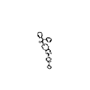 O=C(C(c1ccccc1)c1ccccc1)N1CCc2cnc(N3CCN(C4CCC4)CC3)nc2CC1